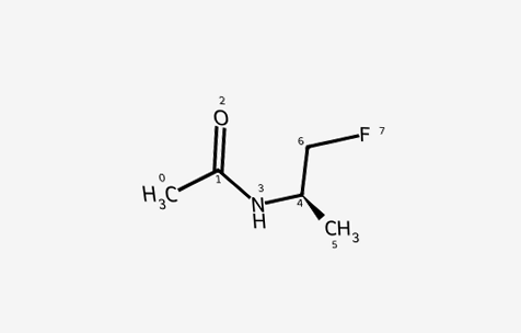 CC(=O)N[C@H](C)CF